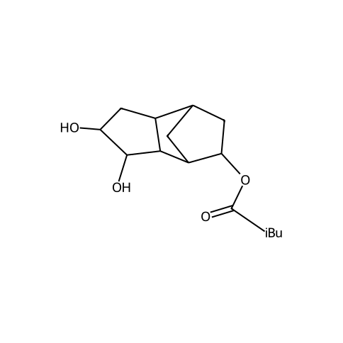 CCC(C)C(=O)OC1CC2CC1C1C(O)C(O)CC21